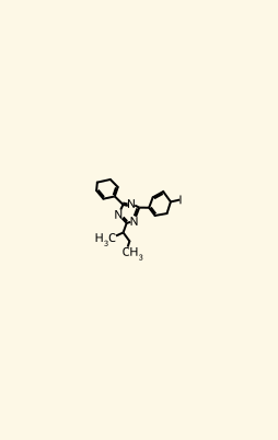 CCC(C)c1nc(C2=CCCC=C2)nc(C2=CCC(I)C=C2)n1